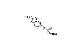 CCOC(=O)c1cc2ccc(/C=C/C(=O)OC(C)(C)C)cc2s1